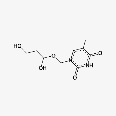 O=c1[nH]c(=O)n(COC(O)CCO)cc1I